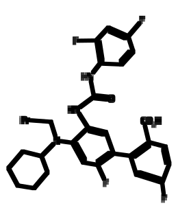 CC(C)CN(c1cc(F)c(-c2cc(F)ccc2C(=O)O)cc1NC(=O)Nc1ccc(F)cc1F)C1CCCCC1